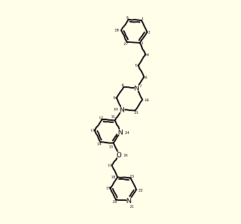 c1ccc(CCCN2CCN(c3cccc(OCc4ccncc4)n3)CC2)cc1